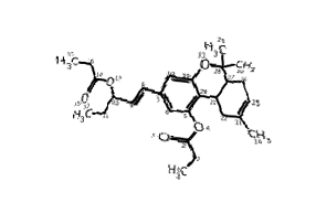 CCC(=O)Oc1cc(/C=C/C(CC)OC(=O)CC)cc2c1C1CC(C)=CCC1C(C)(C)O2